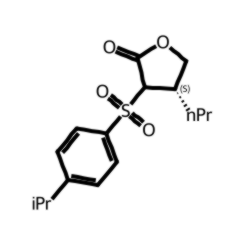 CCC[C@H]1COC(=O)C1S(=O)(=O)c1ccc(C(C)C)cc1